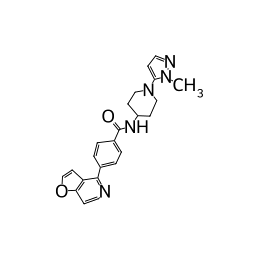 Cn1nccc1N1CCC(NC(=O)c2ccc(-c3nccc4occc34)cc2)CC1